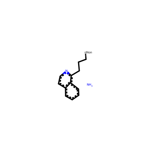 CCCCCCCCCCCCc1nccc2ccccc12.N